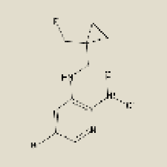 O=[N+]([O-])c1ncc(Br)cc1NCC1(CF)CC1